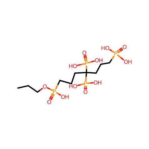 CCCOP(=O)(O)CCCC(CCCP(=O)(O)O)(P(=O)(O)O)P(=O)(O)O